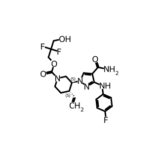 C=C[C@@H]1CCN(C(=O)OCC(F)(F)CO)C[C@H]1n1cc(C(N)=O)c(Nc2ccc(F)cc2)n1